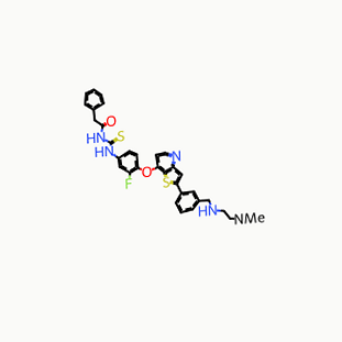 CNCCNCc1cccc(-c2cc3nccc(Oc4ccc(NC(=S)NC(=O)Cc5ccccc5)cc4F)c3s2)c1